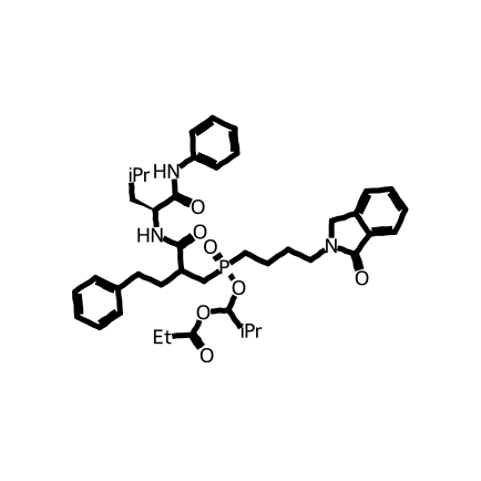 CCC(=O)OC(OP(=O)(CCCCN1Cc2ccccc2C1=O)CC(CCc1ccccc1)C(=O)N[C@@H](CC(C)C)C(=O)Nc1ccccc1)C(C)C